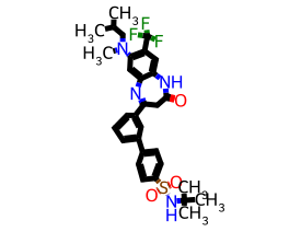 CC(C)CN(C)c1cc2c(cc1C(F)(F)F)NC(=O)CC(c1cccc(-c3ccc(S(=O)(=O)NC(C)(C)C)cc3)c1)=N2